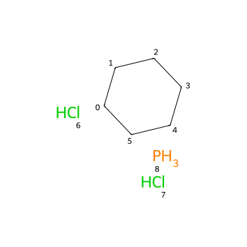 C1CCCCC1.Cl.Cl.P